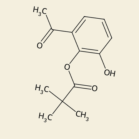 CC(=O)c1cccc(O)c1OC(=O)C(C)(C)C